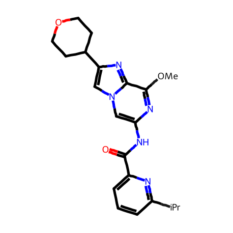 COc1nc(NC(=O)c2cccc(C(C)C)n2)cn2cc(C3CCOCC3)nc12